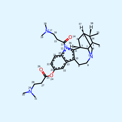 CC1C2[C@H]3C[C@@H](CN2CCc2c3n(C(=O)CCN(C)C)c3ccc(OC(=O)CCN(C)C)cc23)[C@@H]1C